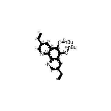 C=Cc1cnc2c(c1)c(OCCCC)c(OCCCC)c1cc(C=C)cnc12